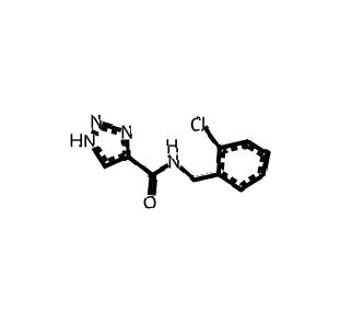 O=C(NCc1ccccc1Cl)c1c[nH]nn1